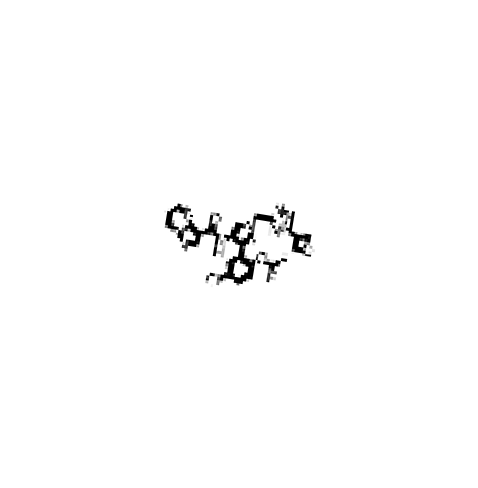 O=C(Nc1cn(Cc2nnn(C3COC3)n2)nc1-c1cc(Cl)ccc1OC(F)F)c1cnn2cccnc12